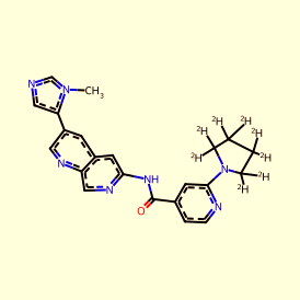 [2H]C1([2H])N(c2cc(C(=O)Nc3cc4cc(-c5cncn5C)cnc4cn3)ccn2)C([2H])([2H])C([2H])([2H])C1([2H])[2H]